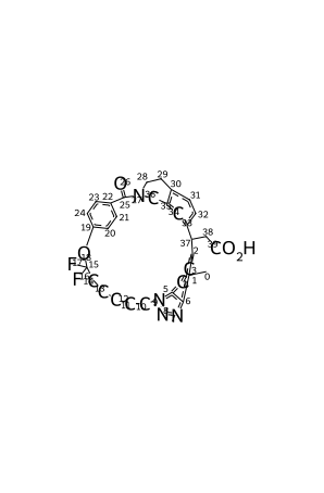 Cc1c2ccc3c1nnn3CCCCCC(F)(F)Oc1ccc(cc1)C(=O)N1CCc3ccc(cc3C1)C2CC(=O)O